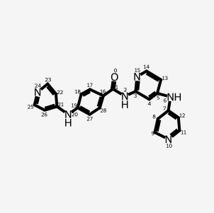 O=C(Nc1cc(Nc2ccncc2)ccn1)c1ccc(Nc2ccncc2)cc1